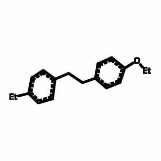 CCOc1ccc(CCc2ccc(CC)cc2)cc1